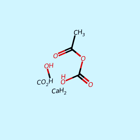 CC(=O)OC(=O)O.O=C(O)O.[CaH2]